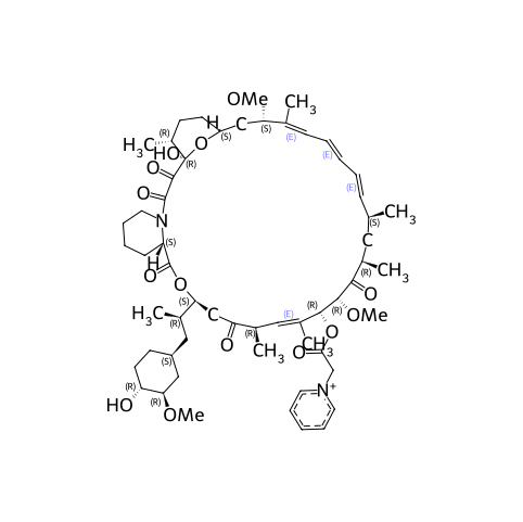 CO[C@H]1C[C@@H]2CC[C@@H](C)[C@@](O)(O2)C(=O)C(=O)N2CCCC[C@H]2C(=O)O[C@H]([C@H](C)C[C@@H]2CC[C@@H](O)[C@H](OC)C2)CC(=O)[C@H](C)/C=C(\C)[C@@H](OC(=O)C[n+]2ccccc2)[C@@H](OC)C(=O)[C@H](C)C[C@H](C)/C=C/C=C/C=C/1C